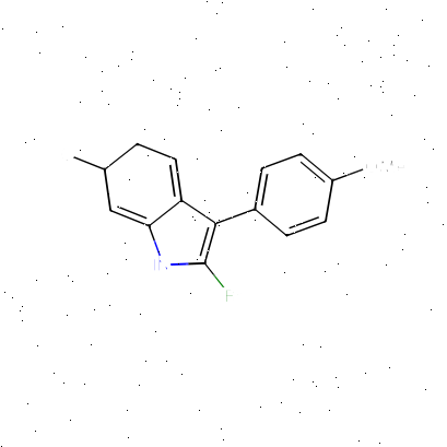 COc1ccc(-c2c(Br)[nH]c3c2=CCC(C)C=3)cc1